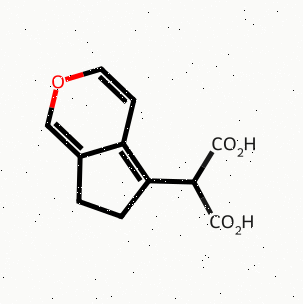 O=C(O)C(C(=O)O)C1=C2C=COC=C2CC1